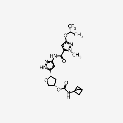 C[C@H](Oc1cc(C(=O)Nc2cc([C@@H]3C[C@H](OC(=O)NC45CC(C4)C5)CO3)[nH]n2)n(C)n1)C(F)(F)F